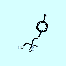 C[C@@](O)(CO)COc1ccc(Br)cc1